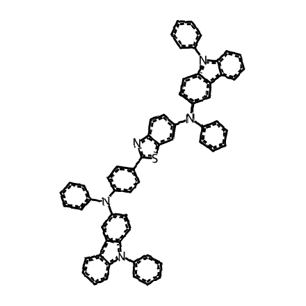 c1ccc(N(c2ccc(-c3nc4ccc(N(c5ccccc5)c5ccc6c(c5)c5ccccc5n6-c5ccccc5)cc4s3)cc2)c2ccc3c(c2)c2ccccc2n3-c2ccccc2)cc1